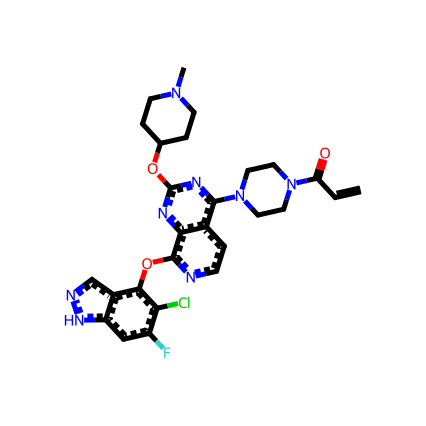 C=CC(=O)N1CCN(c2nc(OC3CCN(C)CC3)nc3c(Oc4c(Cl)c(F)cc5[nH]ncc45)nccc23)CC1